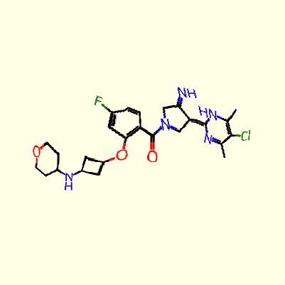 CC1=N/C(=C2\CN(C(=O)c3ccc(F)cc3OC3CC(NC4CCOCC4)C3)CC2=N)NC(C)=C1Cl